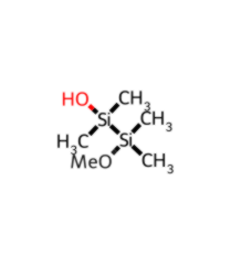 CO[Si](C)(C)[Si](C)(C)O